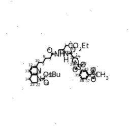 CCOC(=O)CC(CNC(=O)CCCCc1ccc2c(n1)N(C(=O)OC(C)(C)C)CCC2)NC(=O)C1CN(S(=O)(=O)c2cccc(S(C)(=O)=O)c2)C1